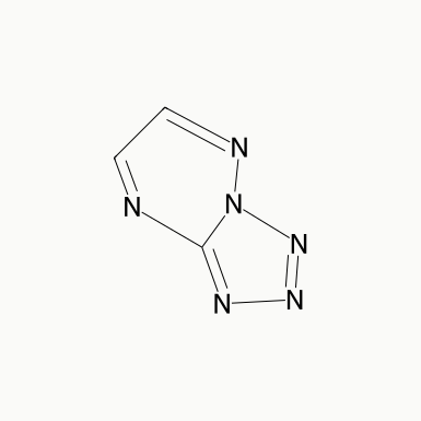 c1cnn2nnnc2n1